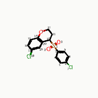 O=S(=O)(c1ccc(Cl)cc1)C1CCOc2ccc(Cl)cc21